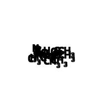 CC1C(N(C)C(=O)OC(C)(C)C)CC1(C)Oc1nc(Cl)cn2nccc12